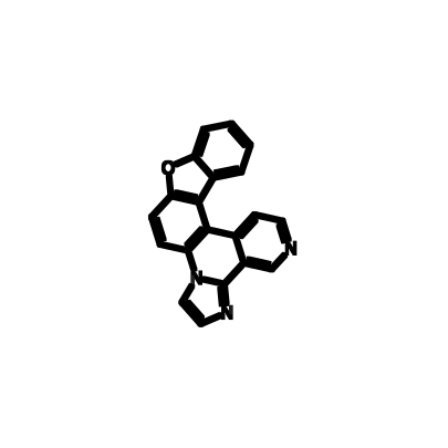 c1ccc2c(c1)oc1ccc3c(c4ccncc4c4nccn34)c12